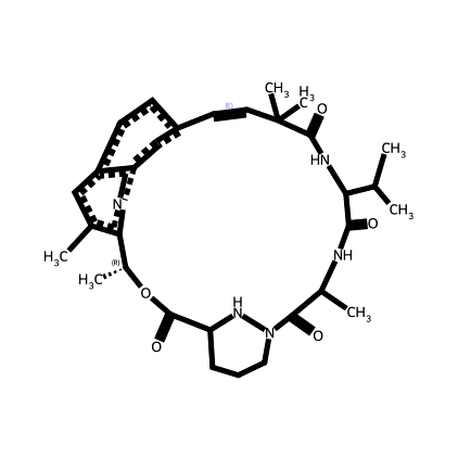 Cc1cc2ccc3cc2nc1[C@@H](C)OC(=O)C1CCCN(N1)C(=O)C(C)NC(=O)C(C(C)C)NC(=O)C(C)(C)/C=C/3